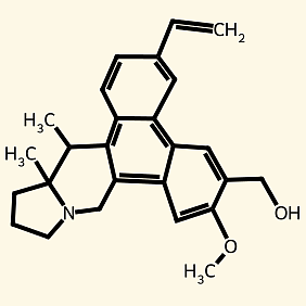 C=Cc1ccc2c3c(c4cc(OC)c(CO)cc4c2c1)CN1CCCC1(C)C3C